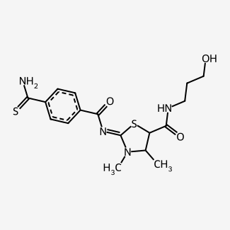 CC1C(C(=O)NCCCO)SC(=NC(=O)c2ccc(C(N)=S)cc2)N1C